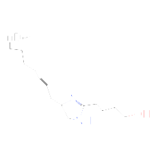 CCCCCCCCCCCCCCC=CCC1CNC(CCCCO)=N1